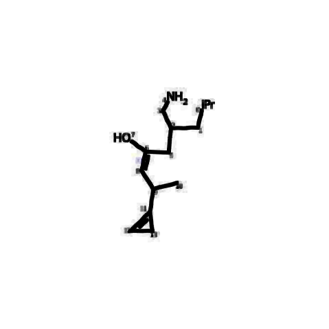 CC(C)CC(CN)C/C(O)=C\C(C)C1=CC1